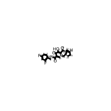 O=C(NCc1ccc(F)cc1F)c1cn2c(c(O)c1=O)C(=O)N1C[C@H]3CC[C@@]1(C3)C2